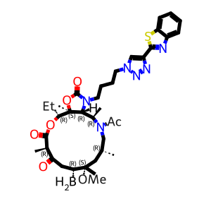 B[C@@H]1CC(=O)[C@@H](C)C(=O)O[C@H](CC)[C@@]2(C)OC(=O)N(CCCCn3cc(-c4nc5ccccc5s4)nn3)[C@@H]2[C@@H](C)N(C(C)=O)C[C@H](C)C[C@]1(C)OC